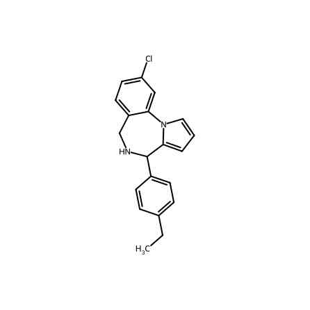 CCc1ccc(C2NCc3ccc(Cl)cc3-n3cccc32)cc1